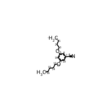 [CH2]CCCOc1cc(C#N)cc(OCCCCC)c1